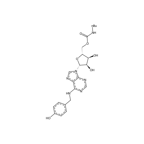 CCCCNC(=O)OC[C@H]1O[C@@H](n2cnc3c(NCc4ccc(O)cc4)ncnc32)[C@H](O)[C@@H]1O